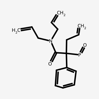 C=CCN(CC=C)C(=O)C(CC=C)(P=O)c1ccccc1